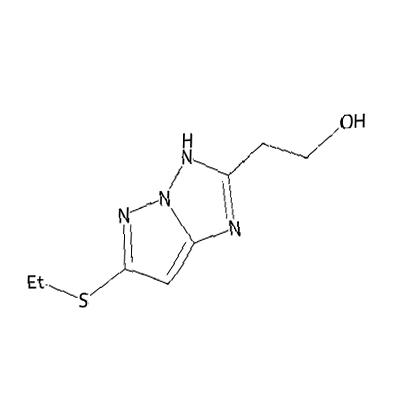 CCSc1cc2nc(CCO)[nH]n2n1